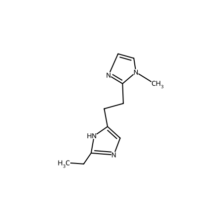 CCc1ncc(CCc2nccn2C)[nH]1